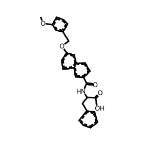 COc1cccc(COc2ccc3cc(C(=O)NC(Cc4ccccc4)C(=O)O)ccc3c2)c1